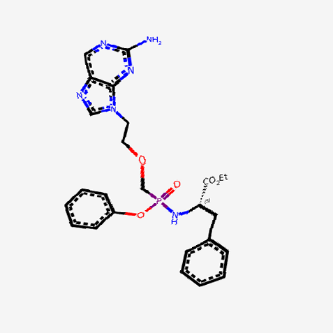 CCOC(=O)[C@H](Cc1ccccc1)NP(=O)(COCCn1cnc2cnc(N)nc21)Oc1ccccc1